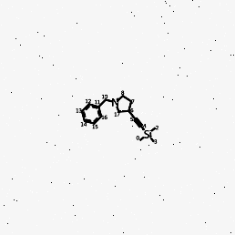 C[Si](C)(C)C#CC1CCN(Cc2ccccc2)C1